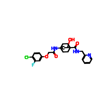 O=C(COc1ccc(Cl)c(F)c1)NC12CCC(C(=O)NCc3ccccn3)(CC1)C(O)C2